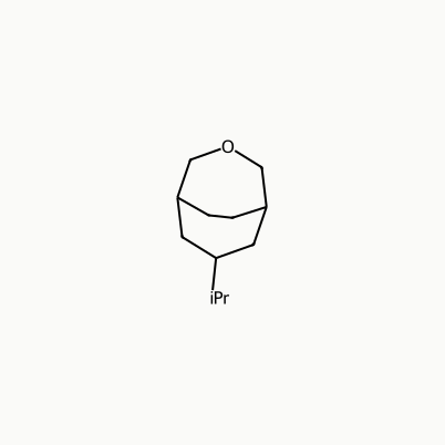 CC(C)C1CC2CCC(COC2)C1